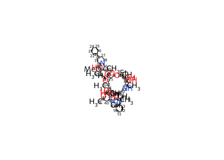 CC[C@H]1OC(=O)[C@H](C)[C@@H](O[C@H]2C[C@@](C)(OC)[C@](O)(CN3CCC(c4ccccc4)CC3)[C@H](C)O2)[C@H](C)[C@@H](O[C@@H]2O[C@H](C)C[C@H](N(C)C(=O)N(C)c3ccccc3)[C@H]2O)[C@](C)(O)C[C@@H](C)CN[C@H](C)[C@@H](O)[C@]1(C)O